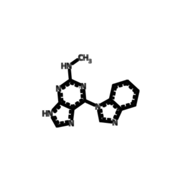 CNc1nc(-n2cnc3ccccc32)c2nc[nH]c2n1